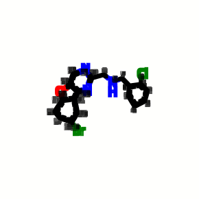 Clc1ccccc1CNCc1ncc2oc3ccc(Br)cc3c2n1